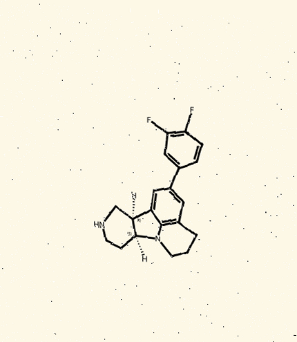 Fc1ccc(-c2cc3c4c(c2)[C@@H]2CNCC[C@@H]2N4CCC3)cc1F